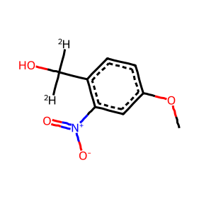 [2H]C([2H])(O)c1ccc(OC)cc1[N+](=O)[O-]